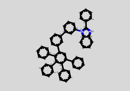 c1ccc(-c2cc(-c3cccc(-c4cccc(-n5c(-c6ccccc6)nc6ccccc65)c4)c3)c(-c3ccccc3)c(-c3ccccc3)c2-c2ccccc2)cc1